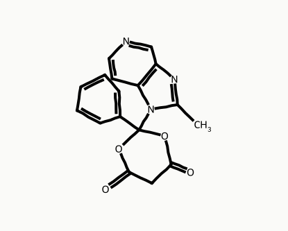 Cc1nc2cnccc2n1C1(c2ccccc2)OC(=O)CC(=O)O1